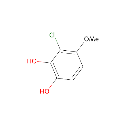 COc1ccc(O)c(O)c1Cl